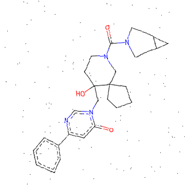 O=C(N1CC2CC2C1)N1CCC(O)(Cn2cnc(-c3ccccc3)cc2=O)C2(CCCC2)C1